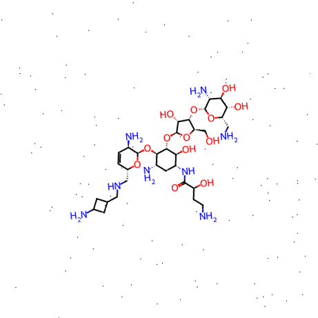 NCCC(O)C(=O)N[C@@H]1C[C@H](N)[C@@H](O[C@H]2O[C@H](CNCC3CC(N)C3)C=C[C@H]2N)[C@H](O[C@@H]2O[C@H](CO)[C@@H](O[C@H]3O[C@@H](CN)[C@@H](O)[C@H](O)[C@H]3N)[C@H]2O)[C@H]1O